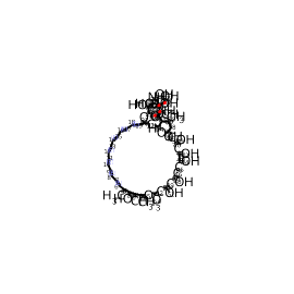 C[C@@H]1[C@H](O)[C@@H](C)/C=C/C=C/C=C/C=C/C=C/C=C/C=C/[C@H](O[C@@H]2O[C@H](C)[C@@H](O)[C@H](N)[C@H]2O)C[C@@H]2O[C@](O)(C[C@@H](O)C[C@@H](O)[C@H](O)CC[C@@H](O)C[C@@H](O)CC(=O)O[C@H]1C)C[C@H](O)C2C(=O)NC(CO)(CO)CO